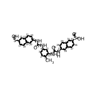 Cc1ccc(NC(=O)Nc2ccc3cc(SO)ccc3c2)cc1NC(=O)Nc1ccc2cc(S(=O)O)ccc2c1